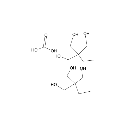 CCC(CO)(CO)CO.CCC(CO)(CO)CO.O=C(O)O